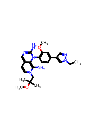 CCn1cc(-c2ccc(N3C(N)=NC=C4C=CN(CC(C)(C)OC)C(N)=C43)c(OC)c2)cn1